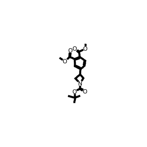 COC(=O)c1ccc(C2CN(C(=O)OC(C)(C)C)C2)cc1C(=O)OC